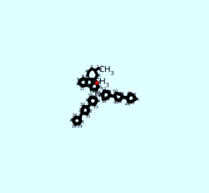 CCC1CCC[C@@]2(c3ccccc3-c3cc(N(c4ccc(-c5ccc(-c6ccccc6)cc5)cc4)c4ccc(-c5ccc(-c6ccccc6)cc5)cc4)ccc32)[C@@H](C)C1